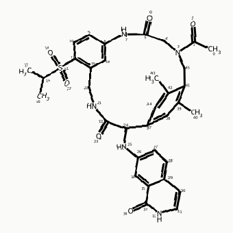 CC(=O)N1CC(=O)Nc2ccc(S(=O)(=O)C(C)C)c(c2)CNC(=O)C(Nc2ccc3cc[nH]c(=O)c3c2)c2cc(C)c(c(C)c2)C1